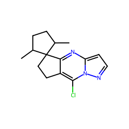 CC1CCC(C)C12CCc1c2nc2ccnn2c1Cl